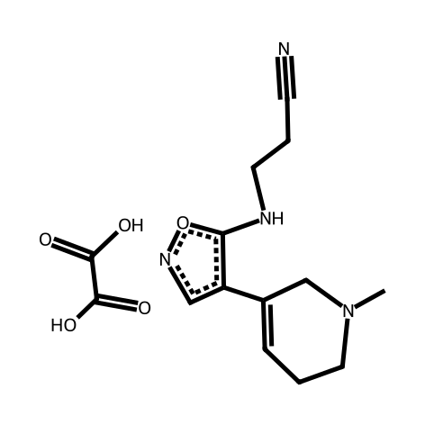 CN1CCC=C(c2cnoc2NCCC#N)C1.O=C(O)C(=O)O